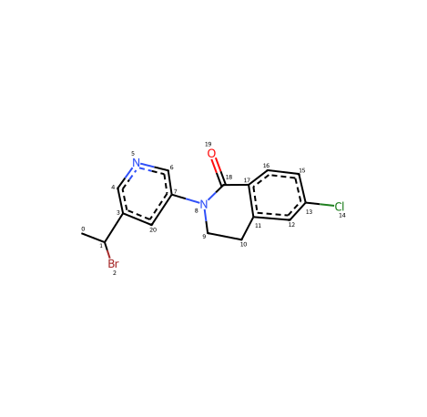 CC(Br)c1cncc(N2CCc3cc(Cl)ccc3C2=O)c1